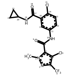 Cn1nc(C(F)(F)F)c(Cl)c1C(=O)Nc1ccc(Cl)c(C(=O)NC2CC2)c1